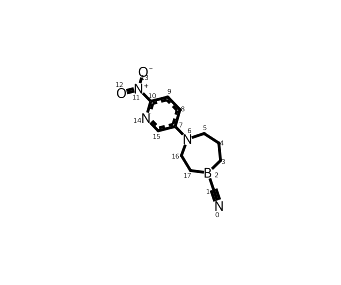 N#CB1CCCN(c2ccc([N+](=O)[O-])nc2)CC1